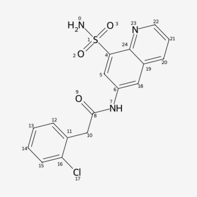 NS(=O)(=O)c1cc(NC(=O)Cc2ccccc2Cl)cc2cccnc12